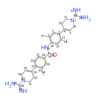 Cc1cc(C2=CCN(C(=N)N)CC2)c(F)cc1NC(=O)c1ccc(C2=CCN(C(=N)N)CC2)c(F)c1